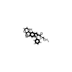 CCOC(=O)c1cc2cc(C3NCCOC3Cl)c(Br)cc2n1-c1ccccc1